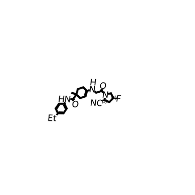 CCc1ccc(NC(=O)C2(C)CC=C(NCC(=O)N3C[C@@H](F)C[C@H]3C#N)CC2)cc1